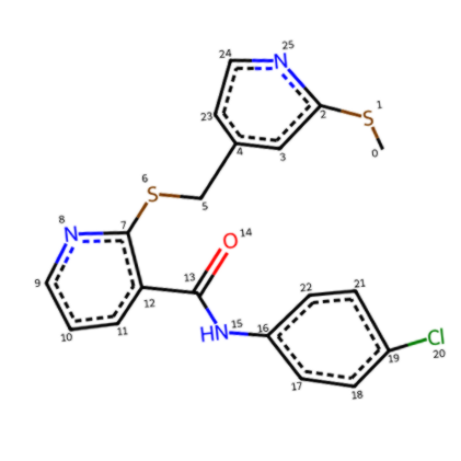 CSc1cc(CSc2ncccc2C(=O)Nc2ccc(Cl)cc2)ccn1